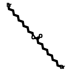 O=C(CCCCCCCCCBr)OCCCCCCCCCCBr